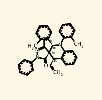 C=C[C@@H]1c2ccccc2N(c2ccccc2C)[C@H](c2ccccc2C)[C@]12C(=O)N(c1ccccc1)N=C2C